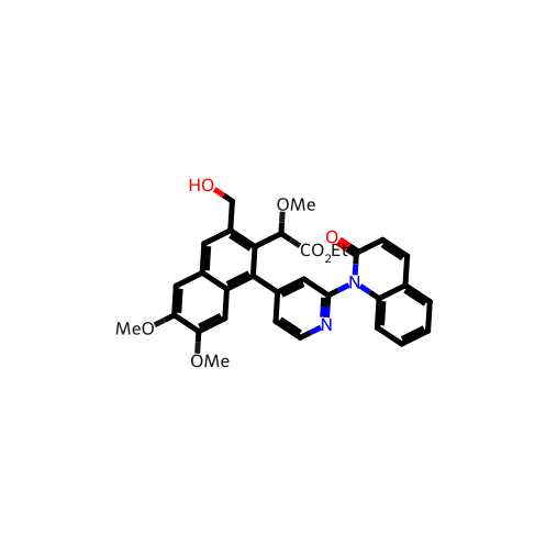 CCOC(=O)C(OC)c1c(CO)cc2cc(OC)c(OC)cc2c1-c1ccnc(-n2c(=O)ccc3ccccc32)c1